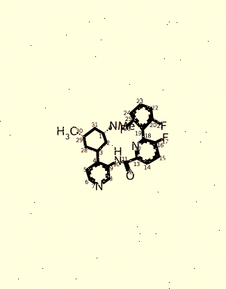 CN[C@@H]1CC(c2ccncc2NC(=O)c2ccc(F)c(-c3c(F)cccc3F)n2)C[C@H](C)C1